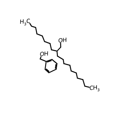 CCCCCCCCCCC(CO)CCCCCCCC.OCc1ccccc1